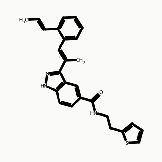 C/C=C/c1ccccc1/C=C(\C)c1n[nH]c2ccc(C(=O)NCCc3cccs3)cc12